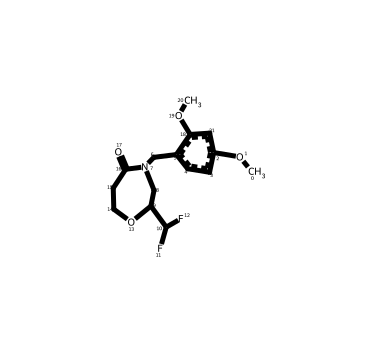 COc1ccc(CN2CC(C(F)F)OCCC2=O)c(OC)c1